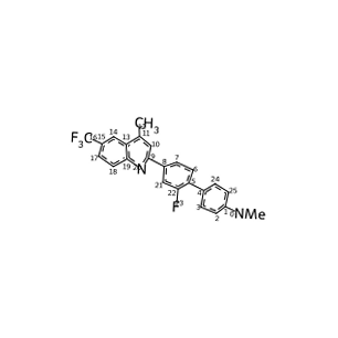 CNc1ccc(-c2ccc(-c3cc(C)c4cc(C(F)(F)F)ccc4n3)cc2F)cc1